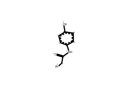 CC(C)CC(=O)Nc1ccc(C#N)cc1